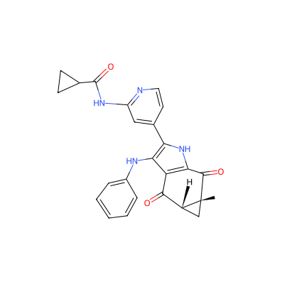 C[C@@]12C[C@@H]1C(=O)c1c([nH]c(-c3ccnc(NC(=O)C4CC4)c3)c1Nc1ccccc1)C2=O